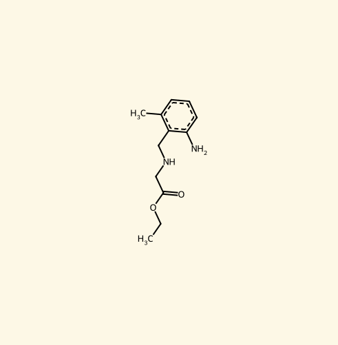 CCOC(=O)CNCc1c(C)cccc1N